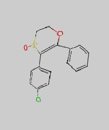 [O-][S+]1CCOC(c2ccccc2)=C1c1ccc(Cl)cc1